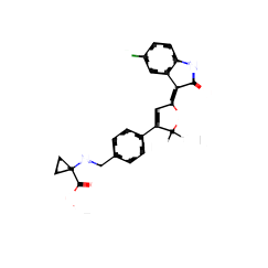 COC(=O)C1(NCc2ccc(C3=CC(=C4C(=O)Nc5ccc(F)cc54)OC3(C)C)cc2)CC1